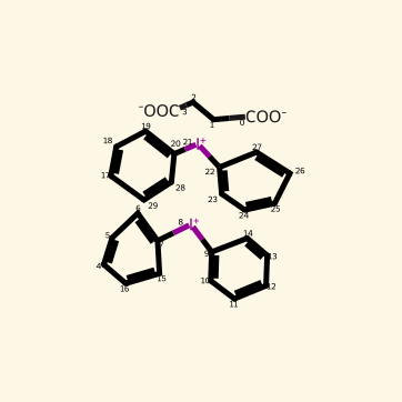 O=C([O-])CCC(=O)[O-].c1ccc([I+]c2ccccc2)cc1.c1ccc([I+]c2ccccc2)cc1